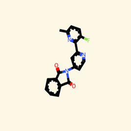 Cc1ccc(F)c(-c2cc(N3C(=O)c4ccccc4C3=O)ccn2)n1